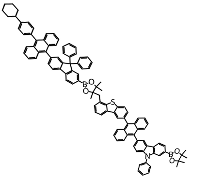 CC1(C)OB(c2ccc3c4cc(-c5c6ccccc6c(-c6ccc7sc8c(CC9(C)OB(c%10ccc%11c(c%10)C(c%10ccccc%10)(c%10ccccc%10)c%10cc(-c%12c%13ccccc%13c(-c%13ccc(C%14CCCCC%14)cc%13)c%13ccccc%12%13)ccc%10-%11)OC9(C)C)cccc8c7c6)c6ccccc56)ccc4n(-c4ccccc4)c3c2)OC1(C)C